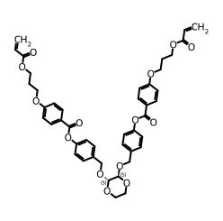 C=CC(=O)OCCCOc1ccc(C(=O)Oc2ccc(CO[C@H]3OCCO[C@@H]3OCc3ccc(OC(=O)c4ccc(OCCCOC(=O)C=C)cc4)cc3)cc2)cc1